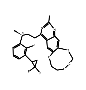 Cc1nc(CC[C@H](C)c2cccc(C3CC3(F)F)c2F)c2cc3c(cc2n1)OCCOCCO3